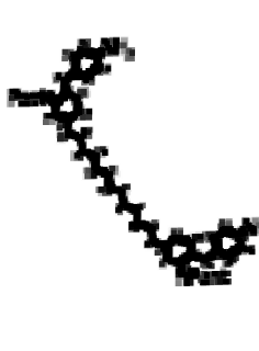 CCCCCc1cc(CCCCCCCCCCCCCc2ccc(Cc3ccc(N)cc3)c(CCCCC)c2)ccc1Cc1ccc(N)cc1